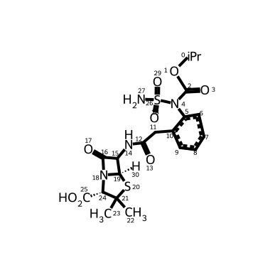 CC(C)OC(=O)N(c1ccccc1CC(=O)NC1C(=O)N2[C@@H]1SC(C)(C)[C@@H]2C(=O)O)S(N)(=O)=O